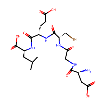 CC(C)C[C@H](NC(=O)[C@H](CCC(=O)O)NC(=O)[C@H](CS)NC(=O)CNC(=O)[C@@H](N)CC(=O)O)C(=O)O